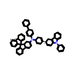 CC1CC=CC=C1C1(c2ccccc2)c2ccccc2C2=CC=C(N(C3=CCC(c4ccccc4)C=C3)C3C=CC([C@@H]4C=Cc5c(c6ccccc6n5-c5ccccc5)C4)=CC3)CC21